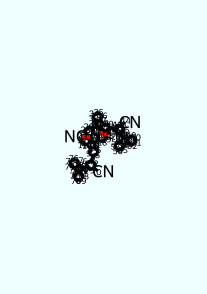 N#Cc1cc(-c2ccc3c(c2)c2ccccc2n3-c2ccc(C#N)cc2-c2cc(C#N)ccc2-n2c3ccccc3c3cc(-c4cc(C#N)cc(-n5c6ccccc6c6ccccc65)c4)ccc32)cc(-n2c3ccccc3c3ccccc32)c1